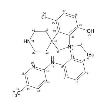 CC(C)(C)C[N+]1(c2ccccc2Nc2ccc(C(F)(F)F)cn2)CC2(CCNCC2)c2c(Cl)ccc(O)c21